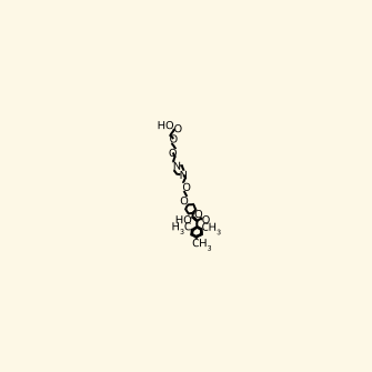 Cc1cc(C)c(C2=C(O)C3(CCC(OCCOCCN4CCN(CCOCCOCC(=O)O)CC4)CC3)OC2=O)c(C)c1